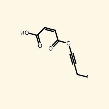 O=C(O)/C=C\C(=O)OC#CCI